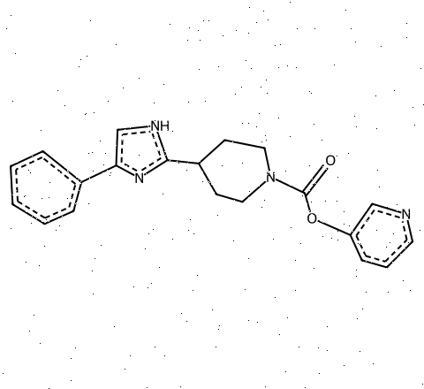 O=C(Oc1cccnc1)N1CCC(c2nc(-c3ccccc3)c[nH]2)CC1